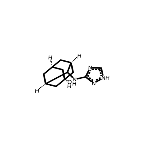 O[C@@]12C[C@H]3C[C@H](C1)C(Nc1nc[nH]n1)[C@@H](C3)C2